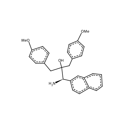 COc1ccc(CC(O)(Cc2ccc(OC)cc2)[C@H](N)c2ccc3ccccc3c2)cc1